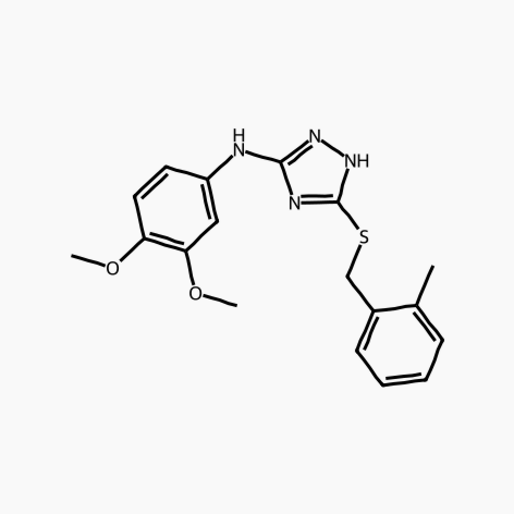 COc1ccc(Nc2n[nH]c(SCc3ccccc3C)n2)cc1OC